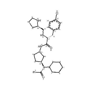 CC(C)C(=O)N(C1CCCCC1)[C@H]1CCN(NC(=O)[C@@H](Cc2ccc(Cl)cc2)NC[C@H]2CCCN2)C1